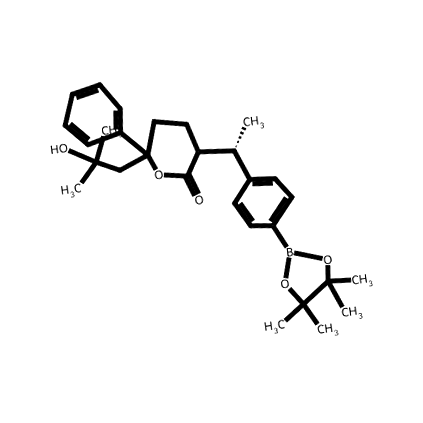 C[C@H](c1ccc(B2OC(C)(C)C(C)(C)O2)cc1)C1CCC(CC(C)(C)O)(c2ccccc2)OC1=O